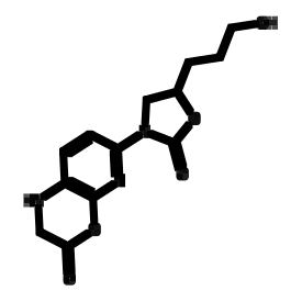 O=C1CNc2ccc(N3CC(CCCO)OC3=O)nc2O1